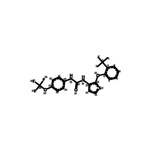 CC(C)(C)c1ccccc1Oc1sccc1NC(=O)Nc1ccc(OC(F)(F)F)cc1